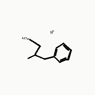 CC(C[TeH])Cc1ccccc1.[H+]